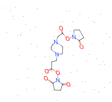 O=C(CN1CCN(CCC(=O)ON2C(=O)CCC2=O)CC1)ON1CCCC1=O